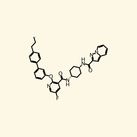 [CH2]CCc1ccc(-c2cccc(Oc3ncc(F)cc3C(=O)N[C@H]3CC[C@H](NC(=O)c4cc5ccccn5n4)CC3)c2)cc1